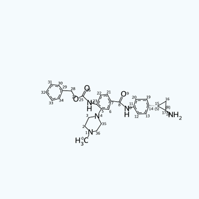 CN1CCN(c2cc(C(=O)Nc3ccc([C@@H]4C[C@H]4N)cc3)ccc2NC(=O)OCc2ccccc2)CC1